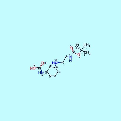 CC(C)(C)OC(=O)NCCNC1CCCC(NC(=O)O)C1